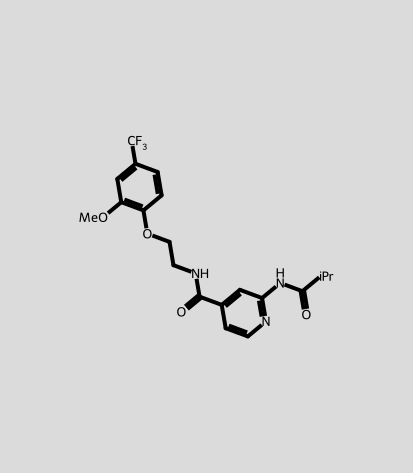 COc1cc(C(F)(F)F)ccc1OCCNC(=O)c1ccnc(NC(=O)C(C)C)c1